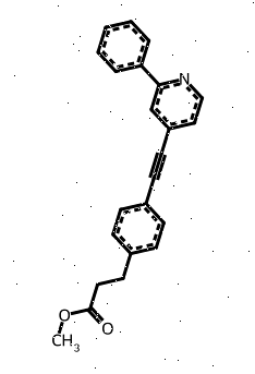 COC(=O)CCc1ccc(C#Cc2ccnc(-c3ccccc3)c2)cc1